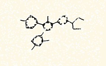 CCC(CC)c1nnc(-c2nn(-c3ccc(Cl)cc3Cl)c(-c3ccc(Cl)cc3)c2C)o1